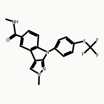 CNC(=O)c1ccc2c(c1)c1cn(C)nc1n2-c1ccc(SC(F)(F)F)cc1